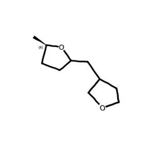 C[C@@H]1CCC(CC2CCOC2)O1